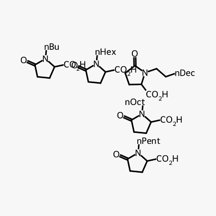 CCCCCCCCCCCCN1C(=O)CCC1C(=O)O.CCCCCCCCN1C(=O)CCC1C(=O)O.CCCCCCN1C(=O)CCC1C(=O)O.CCCCCN1C(=O)CCC1C(=O)O.CCCCN1C(=O)CCC1C(=O)O